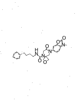 Cn1c(=O)oc2cc(N3CC4(COC4)N(C(=O)NCCCCc4ccccc4)CC3=O)ccc21